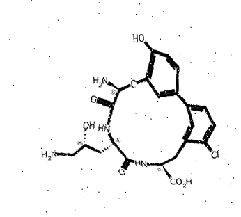 NC[C@H](O)C[C@@H]1NC(=O)[C@@H](N)Cc2cc(ccc2O)-c2ccc(Cl)c(c2)C[C@@H](C(=O)O)NC1=O